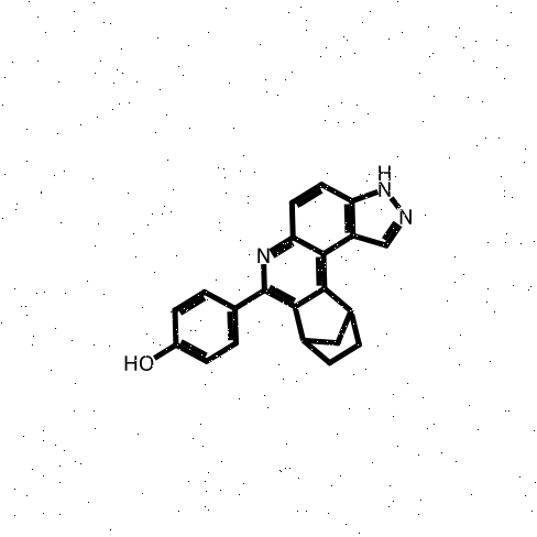 Oc1ccc(-c2nc3ccc4[nH]ncc4c3c3c2C2CCC3C2)cc1